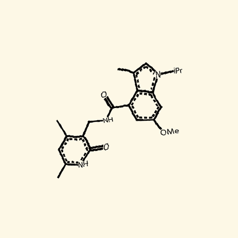 COc1cc(C(=O)NCc2c(C)cc(C)[nH]c2=O)c2c(C)cn(C(C)C)c2c1